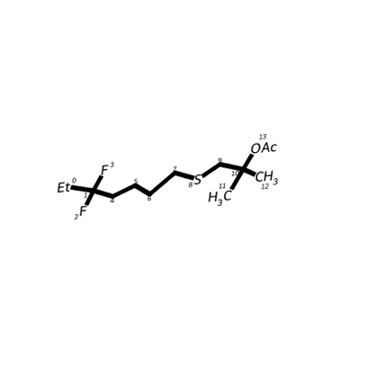 CCC(F)(F)CCCCSCC(C)(C)OC(C)=O